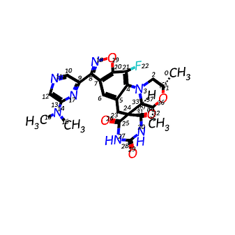 C[C@H]1CN2c3c(cc4c(-c5cncc(N(C)C)n5)noc4c3F)CC3(C(=O)NC(=O)NC3=O)[C@@H]2[C@@H](C)O1